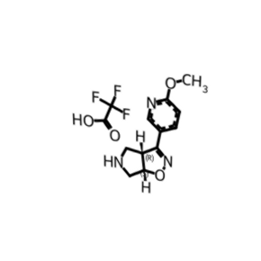 COc1ccc(C2=NO[C@@H]3CNC[C@H]23)cn1.O=C(O)C(F)(F)F